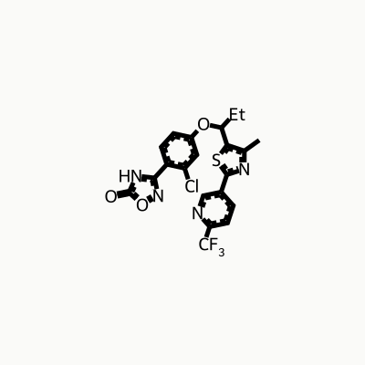 CCC(Oc1ccc(-c2noc(=O)[nH]2)c(Cl)c1)c1sc(-c2ccc(C(F)(F)F)nc2)nc1C